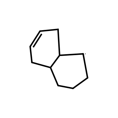 [CH]1CCCC2CC=CCC12